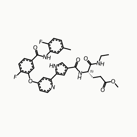 CCNC(=O)[C@H](CCC(=O)OC)NC(=O)c1c[nH]c(-c2cc(Oc3cc(C(=O)Nc4cc(C)ccc4F)ccc3F)ccn2)c1